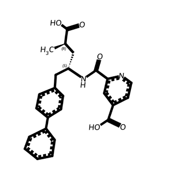 C[C@H](C[C@@H](Cc1ccc(-c2ccccc2)cc1)NC(=O)c1cc(C(=O)O)ccn1)C(=O)O